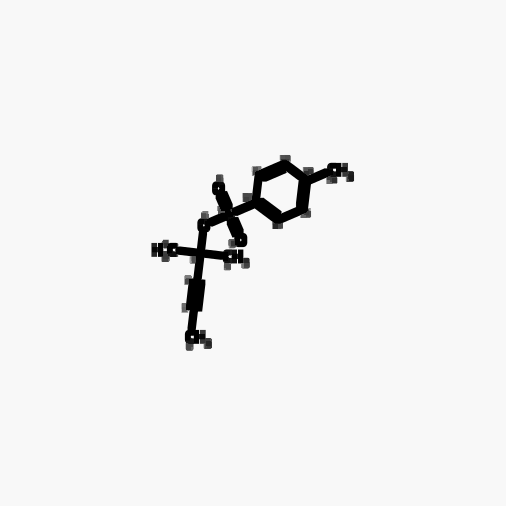 CC#CC(C)(C)OS(=O)(=O)c1ccc(C)cc1